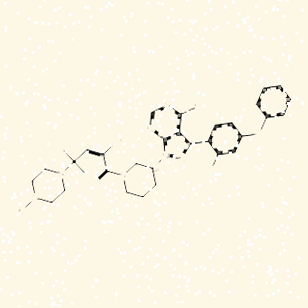 CC(C)(C)N1CCN(C(C)(C)/C=C(/C#N)C(=O)N2CCC[C@H](n3nc(-c4ccc(Oc5ccccc5)cc4F)c4c(N)ncnc43)C2)CC1